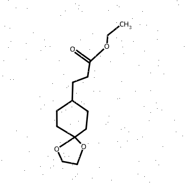 CCOC(=O)CCC1CCC2(CC1)OCCO2